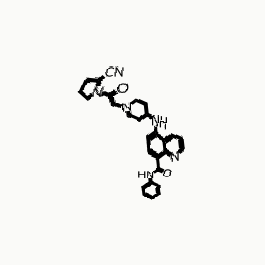 N#CC1CCCN1C(=O)CN1CCC(Nc2ccc(C(=O)Nc3ccccc3)c3ncccc23)CC1